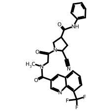 CN(CC(=O)N1CC(C(=O)Nc2ccccc2)CC1C#N)C(=O)c1cnc2c(C(F)(F)F)cccc2c1